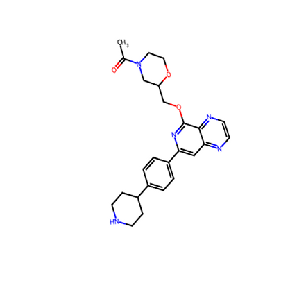 CC(=O)N1CCOC(COc2nc(-c3ccc(C4CCNCC4)cc3)cc3nccnc23)C1